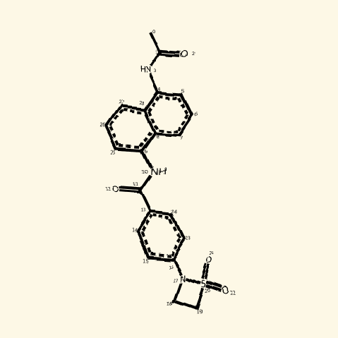 CC(=O)Nc1cccc2c(NC(=O)c3ccc(N4CCS4(=O)=O)cc3)cccc12